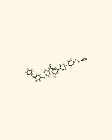 C#CCOc1ccc(N2CCN(C(=O)ON3C(=O)N4CCN(Cc5ccc(Oc6ccccc6)cc5)CC4C3O)CC2)cc1